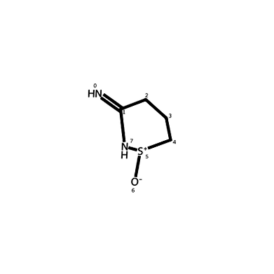 N=C1CCC[S+]([O-])N1